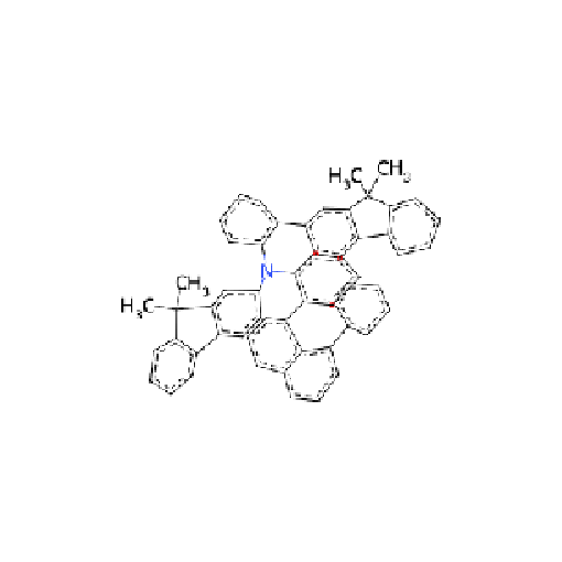 CC1(C)c2ccccc2-c2ccc(-c3ccccc3N(c3ccc4c(c3)C(C)(C)c3ccccc3-4)c3ccccc3-c3cccc4cccc(-c5ccccc5)c34)cc21